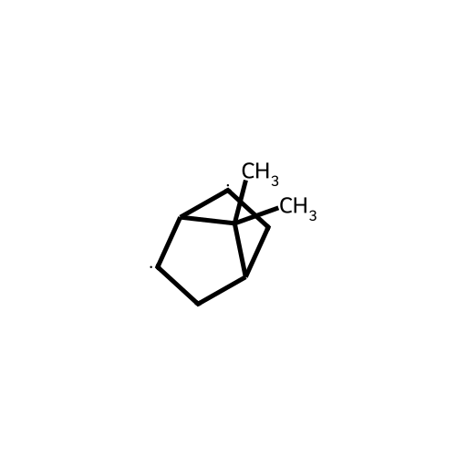 CC1(C)C2[CH]CC1C[CH]2